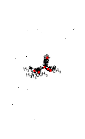 CCOC(=O)C(C)Oc1ccc(SCc2sc(-c3ccc(C(F)(F)F)cc3)nc2CN2CCN(C(C)=O)CC2)cc1C(C)C